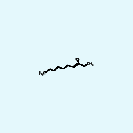 CCCCCCC=C([O])CC